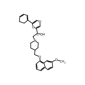 COc1ccc2cccc(OCC3CCN(C[C@H](O)C4=COC=C(C5=CC=CCC5)O4)CC3)c2c1